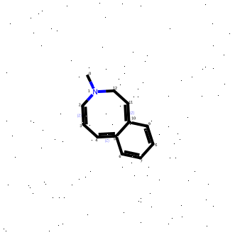 CN1\C=C/C=c2/cccc/c2=C/C1